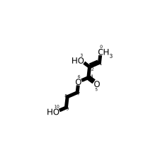 CC=C(O)C(=O)OCCCO